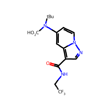 CC(C)(C)N(C(=O)O)c1ccn2ncc(C(=O)NCC(F)(F)F)c2c1